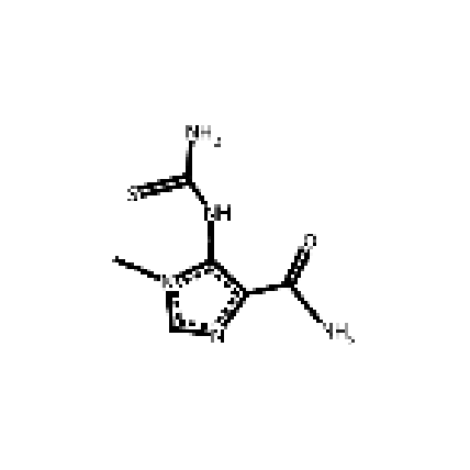 Cn1cnc(C(N)=O)c1NC(N)=S